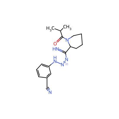 CC(C)C(=O)N1CCCCC1C(=N)/N=N\Nc1cccc(C#N)c1